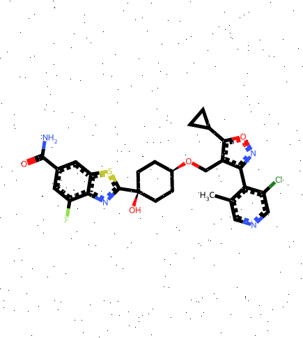 Cc1cncc(Cl)c1-c1noc(C2CC2)c1CO[C@H]1CC[C@](O)(c2nc3c(F)cc(C(N)=O)cc3s2)CC1